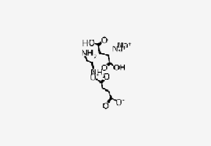 NCCN.O=C(O)CCC(=O)O.O=C([O-])CCC(=O)[O-].[Na+].[Na+]